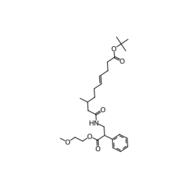 COCCOC(=O)C(CNC(=O)CC(C)CCC=CCCC(=O)OC(C)(C)C)c1ccccc1